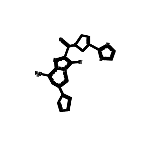 O=C(c1nc2c(C(F)(F)F)cc(C3=C=CC=C3)cn2c1Cl)N1CC=C(c2nccs2)C1